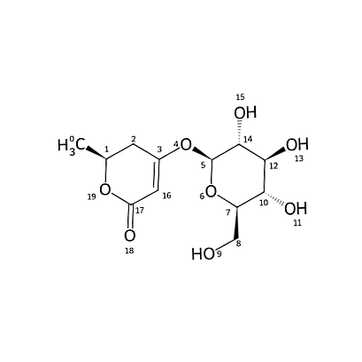 C[C@H]1CC(O[C@@H]2O[C@H](CO)[C@@H](O)[C@H](O)[C@H]2O)=CC(=O)O1